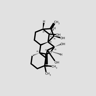 C=C1[C@H]2CCC3[C@]45CCCC(C)(C)C4[C@H](O)[C@](O)(OC5=O)[C@@]3([C@@H]1O)[C@@H]2O